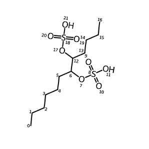 CCCCCCC(OS(=O)(=O)O)C(CCCC)OS(=O)(=O)O